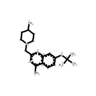 CC1CCN(Cc2nc(N)c3ccc(SC(C)(C)C)cc3n2)CC1